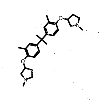 Cc1cc(C(C)(C)c2ccc(OC3CCN(C)C3)c(C)c2)ccc1OC1CCN(C)C1